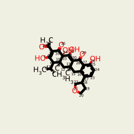 CC(=O)C1=C(O)C(C(C)C)[C@@]2(C)C[C@@]3(C)Cc4c(C5CCOC5)ccc(O)c4C(=O)C3=C(O)[C@@]2(O)C1=O